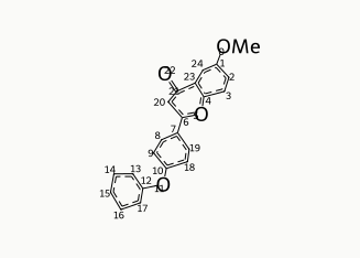 COc1ccc2oc(-c3ccc(Oc4ccccc4)cc3)cc(=O)c2c1